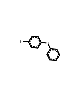 Brc1ccc(Oc2c[c]ccc2)cc1